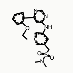 CCOc1ccccc1-c1cc(Nc2cccc(CS(=O)(=O)N(C)C)c2)ncn1